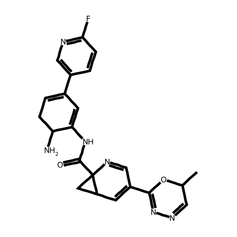 CC1C=NN=C(C2=CC3CC3(C(=O)NC3=CC(c4ccc(F)nc4)=CCC3N)N=C2)O1